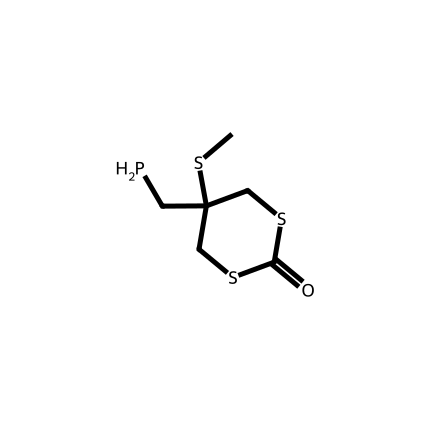 CSC1(CP)CSC(=O)SC1